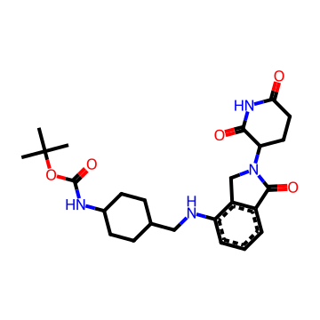 CC(C)(C)OC(=O)NC1CCC(CNc2cccc3c2CN(C2CCC(=O)NC2=O)C3=O)CC1